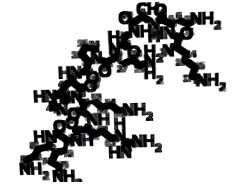 CC(NC(=O)[C@H](CCN)NC(=O)[C@H](N)CCCCN)C(=O)NCC(=O)N[C@H](CCCN)C(=O)N1CCCC1C(=O)NC(Cc1cnc[nH]1)C(=O)N[C@@H](CCCCN)C(=O)N/C(=C\CCNC(=N)N)C(=O)N[C@@H](CCCCN)C(=O)NCCCCN